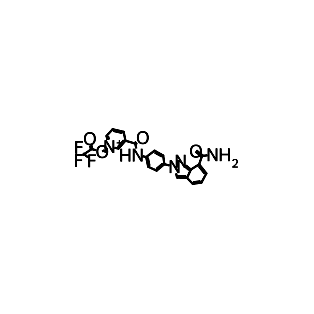 NC(=O)c1cccc2cn(-c3ccc(NC(=O)c4ccc[n+](OC(=O)C(F)(F)F)c4)cc3)nc12